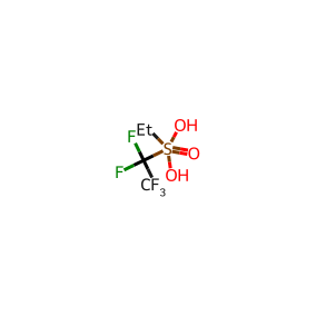 CCS(=O)(O)(O)C(F)(F)C(F)(F)F